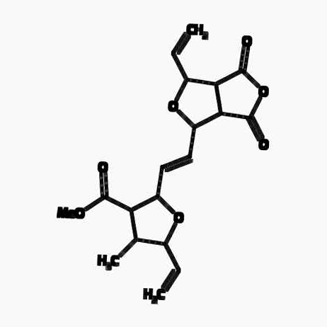 C=CC1OC(C=CC2OC(C=C)C3C(=O)OC(=O)C23)C(C(=O)OC)C1C